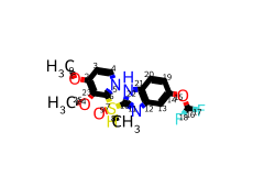 COc1ccnc([SH](C)(=O)c2nc3cc(OC(F)F)ccc3[nH]2)c1OC